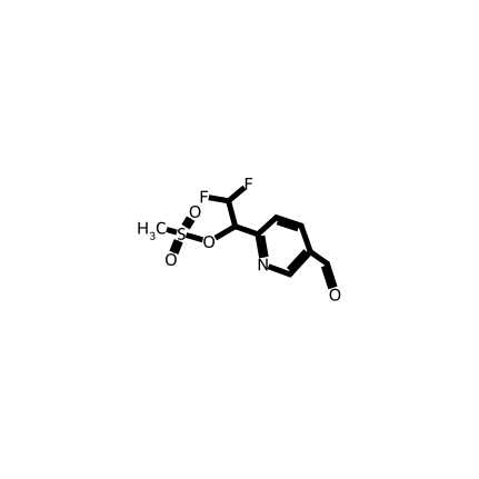 CS(=O)(=O)OC(c1ccc(C=O)cn1)C(F)F